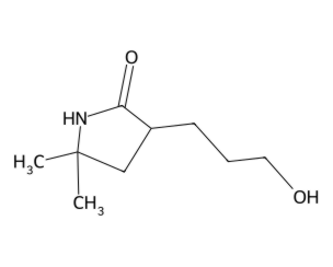 CC1(C)CC(CCCO)C(=O)N1